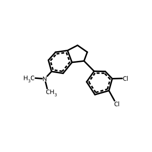 CN(C)c1ccc2c(c1)C(c1ccc(Cl)c(Cl)c1)CC2